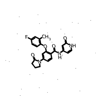 Cc1cc(F)ccc1Oc1cc(N2CCCC2=O)ccc1C(=O)Nc1cc[nH]c(=O)c1